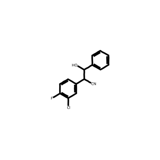 N#CC(c1ccc(F)c(Cl)c1)C(O)c1ccccc1